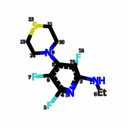 CCNc1nc(F)c(F)c(N2CCSCC2)c1F